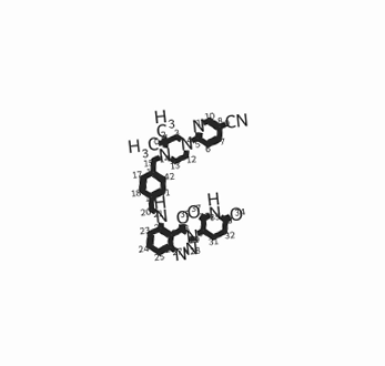 CC1(C)CN(c2ccc(C#N)cn2)CCN1Cc1ccc(CNc2cccc3nnn(C4CCC(=O)NC4=O)c(=O)c23)cc1